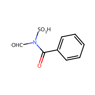 O=[C]N(C(=O)c1ccccc1)S(=O)(=O)O